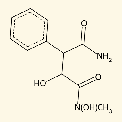 CN(O)C(=O)C(O)C(C(N)=O)c1ccccc1